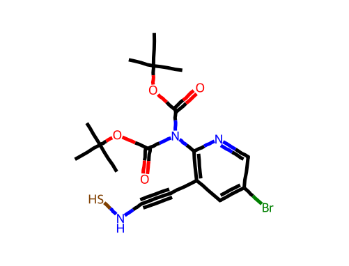 CC(C)(C)OC(=O)N(C(=O)OC(C)(C)C)c1ncc(Br)cc1C#CNS